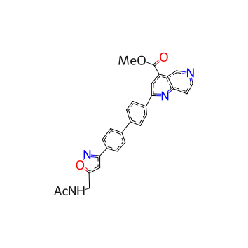 COC(=O)c1cc(-c2ccc(-c3ccc(-c4cc(CNC(C)=O)on4)cc3)cc2)nc2ccncc12